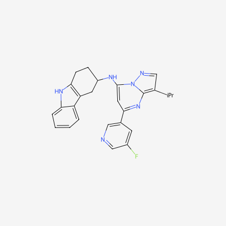 CC(C)c1cnn2c(NC3CCc4[nH]c5ccccc5c4C3)cc(-c3cncc(F)c3)nc12